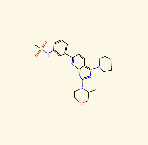 CC1COCCN1c1nc(N2CCOCC2)c2ccc(-c3cccc(NS(C)(=O)=O)c3)nc2n1